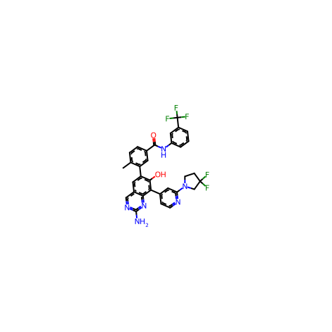 Cc1ccc(C(=O)Nc2cccc(C(F)(F)F)c2)cc1-c1cc2cnc(N)nc2c(-c2ccnc(N3CCC(F)(F)C3)c2)c1O